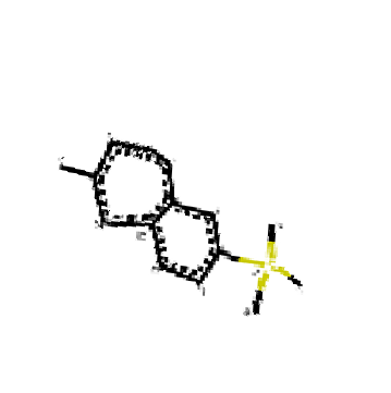 Cc1ccc2cc(S(C)(C)C)ccc2c1